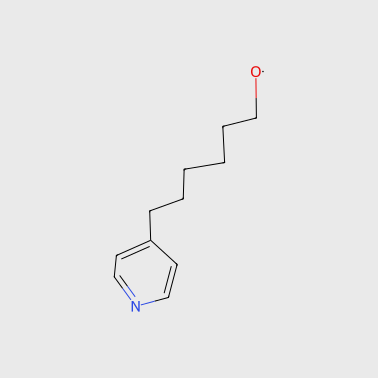 [O]CCCCCCc1ccncc1